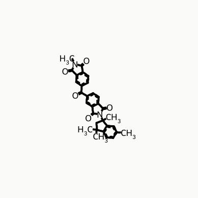 Cc1ccc2c(c1)C(C)(N1C(=O)c3ccc(C(=O)c4ccc5c(c4)C(=O)N(C)C5=O)cc3C1=O)CC2(C)C